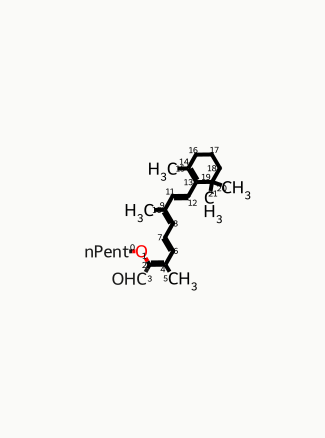 CCCCCOC(C=O)=C(C)C=CC=C(C)C=CC1=C(C)CCCC1(C)C